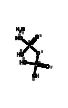 O.O=P(O)(O)OP(=O)(O)O